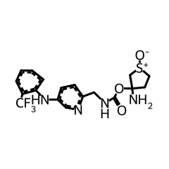 NC1(OC(=O)NCc2ccc(Nc3ccccc3C(F)(F)F)cn2)CC[S+]([O-])C1